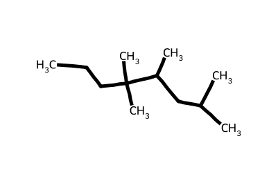 CCCC(C)(C)C(C)CC(C)C